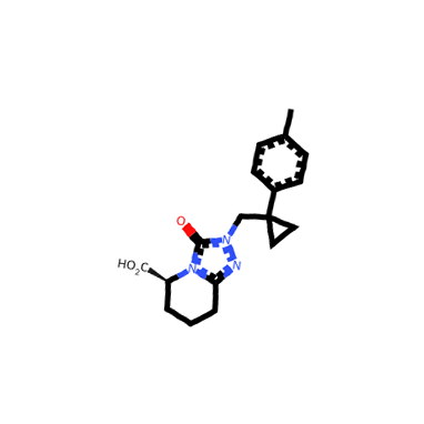 Cc1ccc(C2(Cn3nc4n(c3=O)[C@H](C(=O)O)CCC4)CC2)cc1